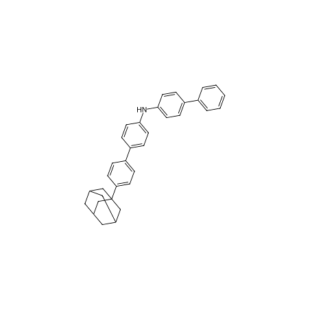 c1ccc(-c2ccc(Nc3ccc(-c4ccc(C56CC7CC(CC(C7)C5)C6)cc4)cc3)cc2)cc1